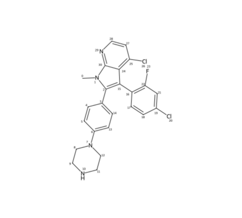 Cn1c(-c2ccc(N3CCNCC3)cc2)c(-c2ccc(Cl)cc2F)c2c(Cl)ccnc21